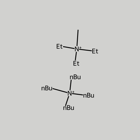 CCCC[N+](CCCC)(CCCC)CCCC.CC[N+](C)(CC)CC